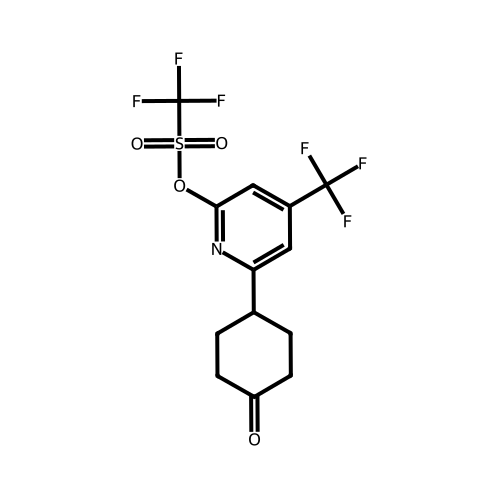 O=C1CCC(c2cc(C(F)(F)F)cc(OS(=O)(=O)C(F)(F)F)n2)CC1